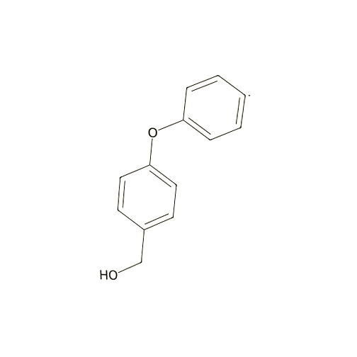 OCc1ccc(Oc2cc[c]cc2)cc1